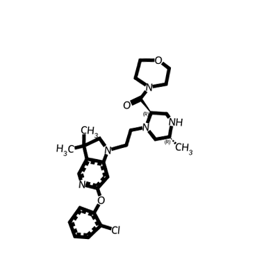 C[C@@H]1CN(CCN2CC(C)(C)c3cnc(Oc4ccccc4Cl)cc32)[C@@H](C(=O)N2CCOCC2)CN1